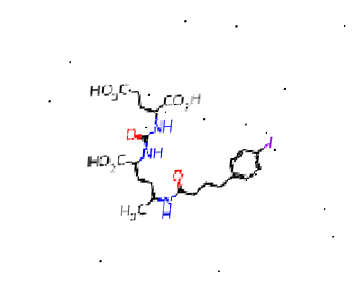 CC(CCC(NC(=O)NC(CCC(=O)O)C(=O)O)C(=O)O)NC(=O)CCCc1ccc(I)cc1